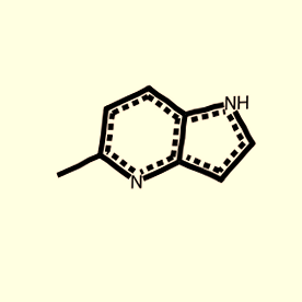 Cc1ccc2[nH]ccc2n1